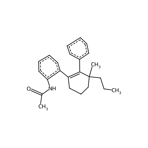 CCCC1(C)CCCC(c2ccccc2NC(C)=O)=C1c1ccccc1